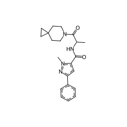 CC(NC(=O)c1cc(-c2ccccc2)nn1C)C(=O)N1CCC2(CC1)CC2